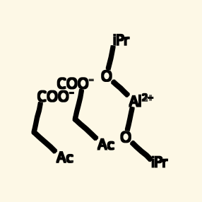 CC(=O)CC(=O)[O-].CC(=O)CC(=O)[O-].CC(C)[O][Al+2][O]C(C)C